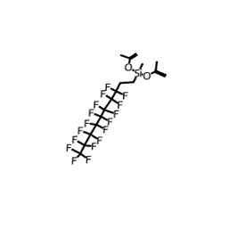 C=C(C)O[Si](C)(CCC(F)(F)C(F)(F)C(F)(F)C(F)(F)C(F)(F)C(F)(F)C(F)(F)C(F)(F)F)OC(=C)C